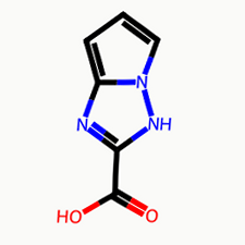 O=C(O)c1nc2cccn2[nH]1